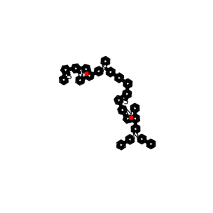 c1ccc(-c2ccc(N(c3ccc(-c4ccccc4)cc3)c3ccc(-c4ccc(-c5ccccc5-n5c6ccccc6c6ccc(-c7cccc8c7sc7ccc(-c9cccc(-c%10ccc(-c%11ccc(N(c%12ccccc%12)c%12ccc(-c%13ccc(-c%14ccccc%14-n%14c%15ccccc%15c%15ccc(-c%16cccc%17c%16sc%16ccccc%16%17)cc%15%14)cc%13)cc%12)cc%11)cc%10)c9)cc78)cc65)cc4)cc3)cc2)cc1